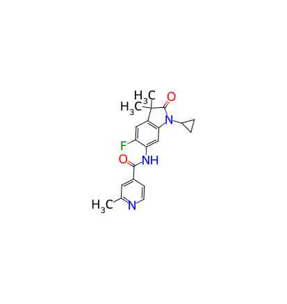 Cc1cc(C(=O)Nc2cc3c(cc2F)C(C)(C)C(=O)N3C2CC2)ccn1